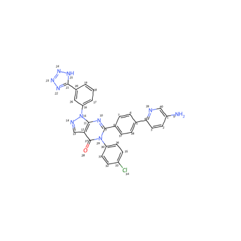 Nc1ccc(-c2ccc(-c3nc4c(cnn4-c4cccc(-c5nnn[nH]5)c4)c(=O)n3-c3ccc(Cl)cc3)cc2)nc1